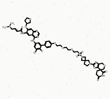 CN(C)C/C=C/C(=O)Nc1cc2c(Nc3cc(Cl)c(F)c(-c4ccc(OCCOCCOCCS(=O)(=O)N5CC6(CCN(c7nc8c(o7)C7(CCC(=O)NC7=O)COC8)C6)C5)cc4)c3)ncnc2cc1OC1CCOC1